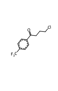 O=C(CCCCl)c1ccc(C(F)(F)F)cc1